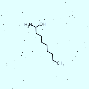 CCCCCCCCC(N)O